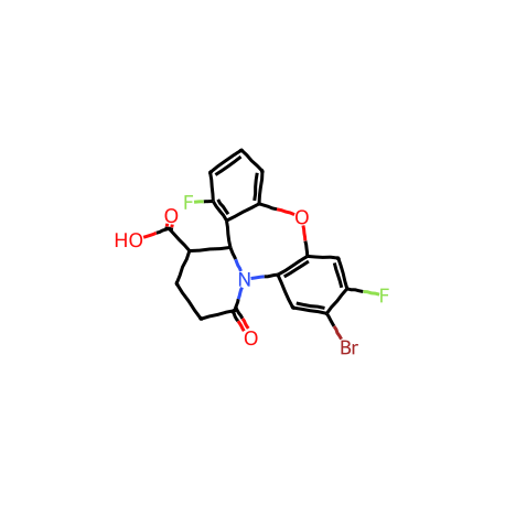 O=C(O)C1CCC(=O)N2c3cc(Br)c(F)cc3Oc3cccc(F)c3C12